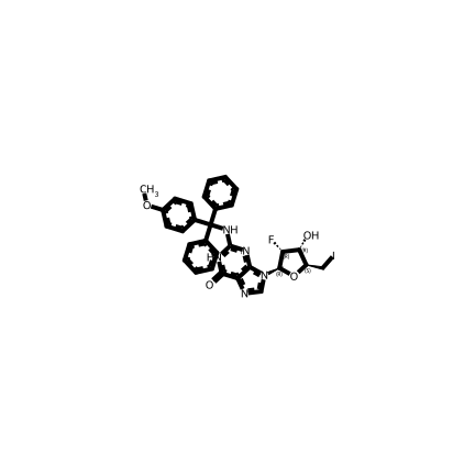 COc1ccc(C(Nc2nc3c(ncn3[C@@H]3O[C@H](CI)[C@@H](O)[C@H]3F)c(=O)[nH]2)(c2ccccc2)c2ccccc2)cc1